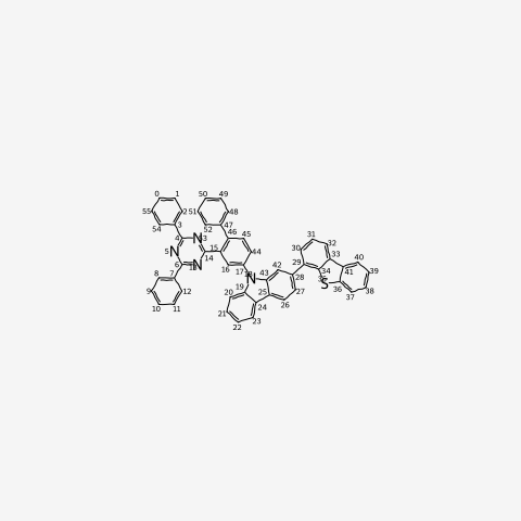 c1ccc(-c2nc(-c3ccccc3)nc(-c3cc(-n4c5ccccc5c5ccc(-c6cccc7c6sc6ccccc67)cc54)ccc3-c3ccccc3)n2)cc1